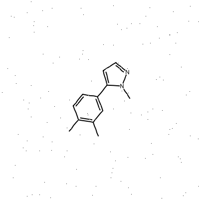 Cc1ccc(-c2ccnn2C)cc1C